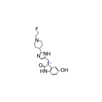 O=C1Nc2ccc(O)cc2/C1=C/c1cnc(C2CCN(CCF)CC2)[nH]1